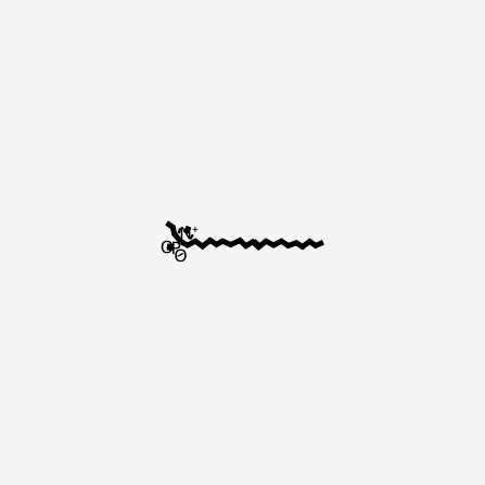 CCCCCCCCCC=CCCCCCCCCCC(CCC)(P(=O)=O)[N+](C)(C)C